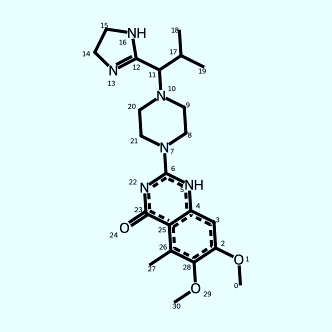 COc1cc2[nH]c(N3CCN(C(C4=NCCN4)C(C)C)CC3)nc(=O)c2c(C)c1OC